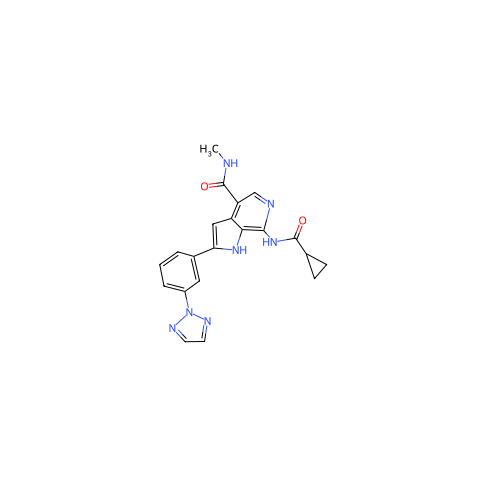 CNC(=O)c1cnc(NC(=O)C2CC2)c2[nH]c(-c3cccc(-n4nccn4)c3)cc12